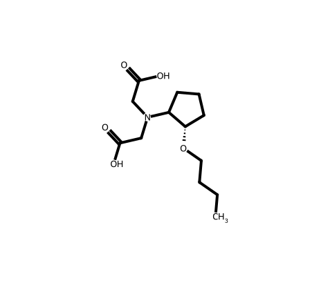 CCCCO[C@H]1CCCC1N(CC(=O)O)CC(=O)O